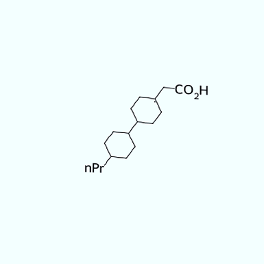 CCCC1CCC(C2CC[C](CC(=O)O)CC2)CC1